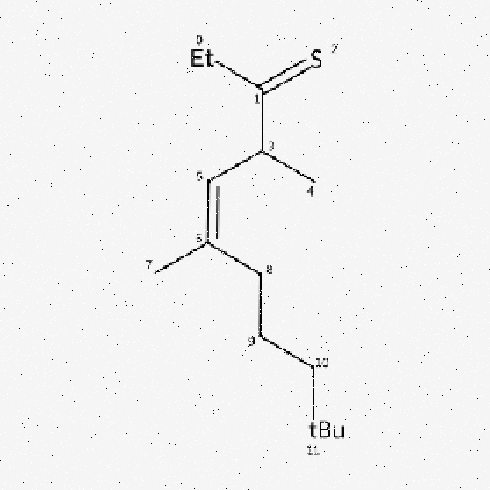 CCC(=S)C(C)C=C(C)CCCC(C)(C)C